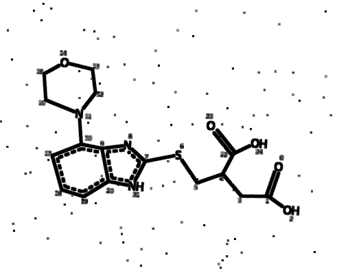 O=C(O)CC(CSc1nc2c(N3CCOCC3)cccc2[nH]1)C(=O)O